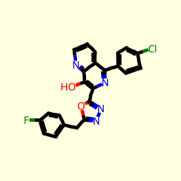 Oc1c(-c2nnc(Cc3ccc(F)cc3)o2)nc(-c2ccc(Cl)cc2)c2cccnc12